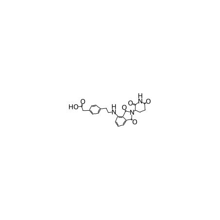 O=C(O)Cc1ccc(CCNc2cccc3c2C(=O)N(C2CCC(=O)NC2=O)C3=O)cc1